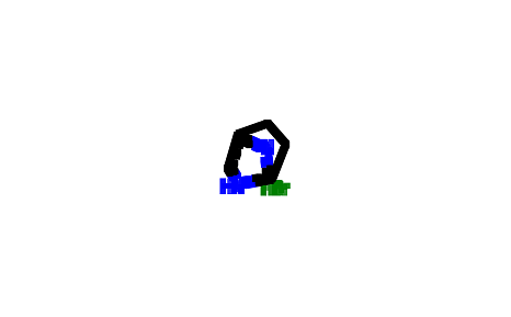 Br.c1[nH]c2nc1CC2